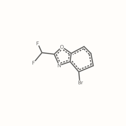 FC(F)c1nc2c(Br)cccc2o1